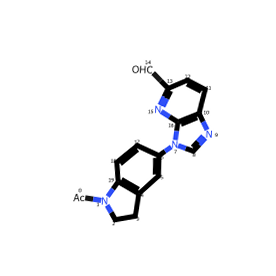 CC(=O)N1CCc2cc(-n3cnc4ccc(C=O)nc43)ccc21